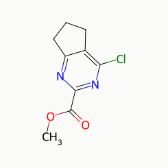 COC(=O)c1nc(Cl)c2c(n1)CCC2